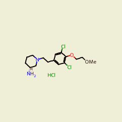 COCCOc1c(Cl)cc(CCN2CCC[C@@H](N)C2)cc1Cl.Cl